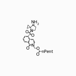 CCCCCC(=O)OCn1ccc2c(S(=O)(=O)N3CC[C@@H](N)C34CC4)cccc2c1=O